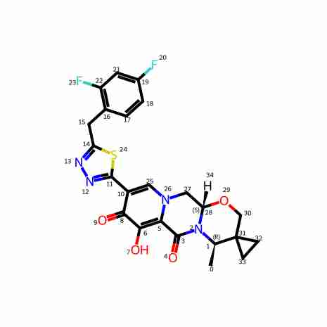 C[C@H]1N2C(=O)c3c(O)c(=O)c(-c4nnc(Cc5ccc(F)cc5F)s4)cn3C[C@@H]2OCC12CC2